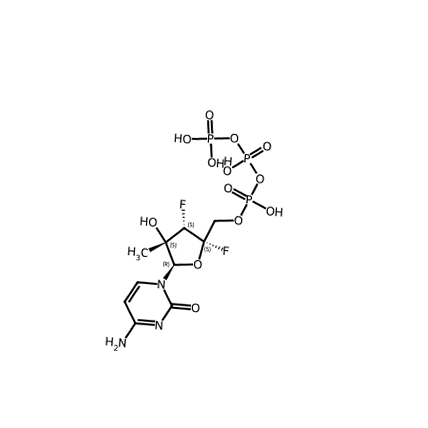 C[C@]1(O)[C@H](n2ccc(N)nc2=O)O[C@](F)(COP(=O)(O)OP(=O)(O)OP(=O)(O)O)[C@H]1F